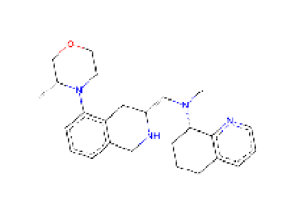 C[C@@H]1COCCN1c1cccc2c1C[C@H](CN(C)[C@H]1CCCc3cccnc31)NC2